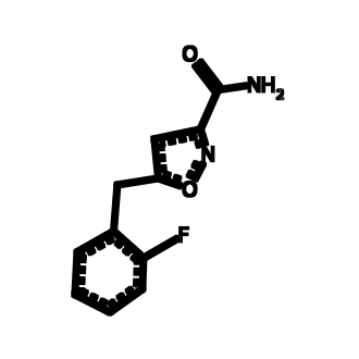 NC(=O)c1cc(Cc2ccccc2F)on1